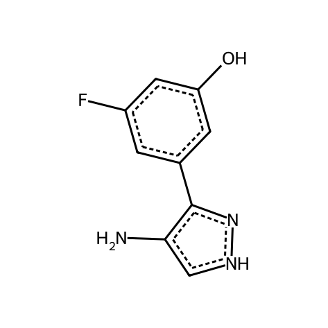 Nc1c[nH]nc1-c1cc(O)cc(F)c1